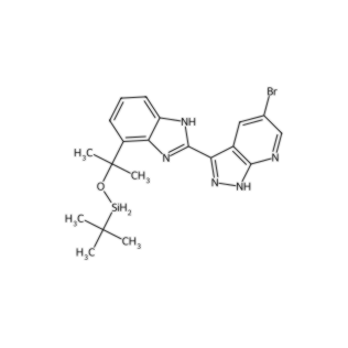 CC(C)(C)[SiH2]OC(C)(C)c1cccc2[nH]c(-c3n[nH]c4ncc(Br)cc34)nc12